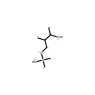 CC(C=O)C(C)CO[Si](C)(C)C(C)(C)C